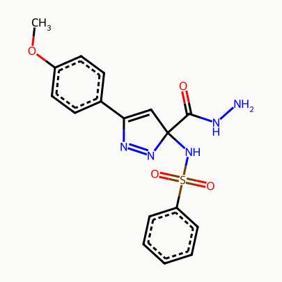 COc1ccc(C2=CC(NS(=O)(=O)c3ccccc3)(C(=O)NN)N=N2)cc1